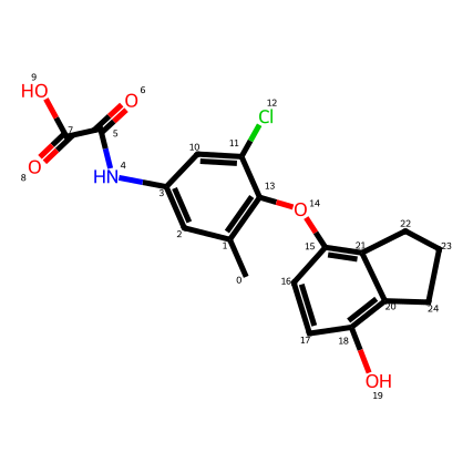 Cc1cc(NC(=O)C(=O)O)cc(Cl)c1Oc1ccc(O)c2c1CCC2